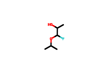 CC(C)OC(F)C(C)O